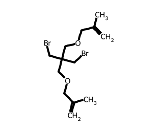 C=C(C)COCC(CBr)(CBr)COCC(=C)C